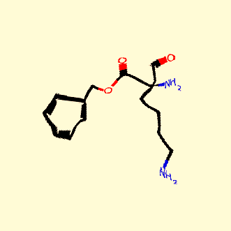 NCCCC[C@@](N)([C]=O)C(=O)OCc1ccccc1